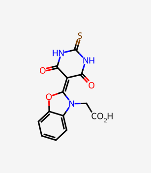 O=C(O)CN1C(=C2C(=O)NC(=S)NC2=O)Oc2ccccc21